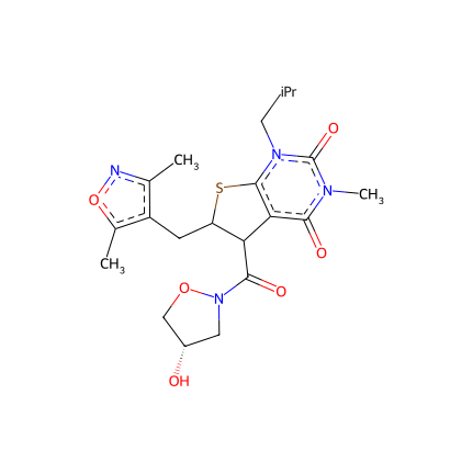 Cc1noc(C)c1CC1Sc2c(c(=O)n(C)c(=O)n2CC(C)C)C1C(=O)N1C[C@H](O)CO1